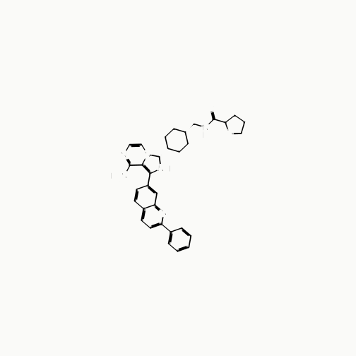 NC1=NC=CN2C1=C(c1ccc3ccc(-c4ccccc4)nc3c1)NC2[C@H]1CC[C@H](CNC(=O)C2CCCO2)CC1